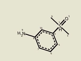 C[SH](C)(=O)c1cccc(N)c1